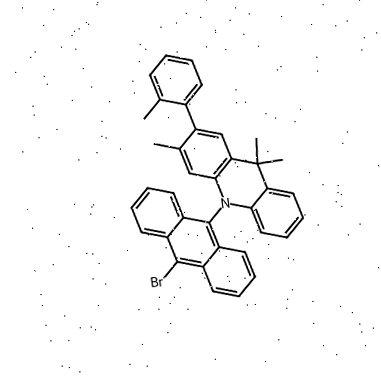 Cc1ccccc1-c1cc2c(cc1C)N(c1c3ccccc3c(Br)c3ccccc13)c1ccccc1C2(C)C